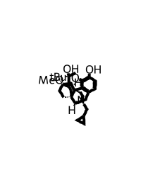 CO[C@@]12CC[C@@]3(C[C@@H]1[C@](C)(O)C(C)(C)C)[C@H]1Cc4ccc(O)c5c4[C@@]3(CCN1CC1CC1)C2O5